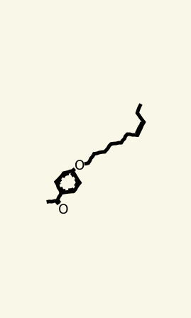 CC/C=C\CCCCCCOc1ccc(C(C)=O)cc1